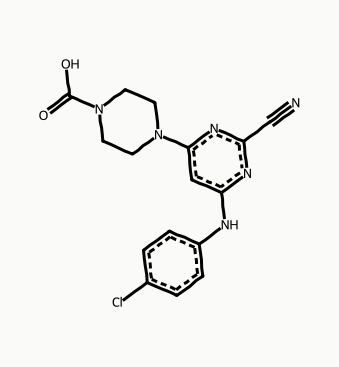 N#Cc1nc(Nc2ccc(Cl)cc2)cc(N2CCN(C(=O)O)CC2)n1